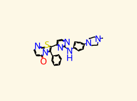 CN1CCN(c2ccc(Nc3nccc(-c4sc5nccc(=O)n5c4-c4ccccc4)n3)cc2)CC1